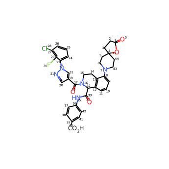 O=C1CCC2(CCN(c3cccc4c3CCN(C(=O)c3cnn(-c5cccc(Cl)c5F)c3)C4C(=O)Nc3ccc(C(=O)O)cc3)CC2)O1